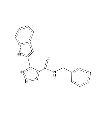 O=C(NCc1ccccc1)c1cn[nH]c1-c1cc2ccccc2[nH]1